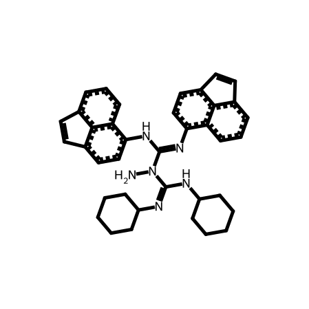 NN(C(=Nc1ccc2c3c(cccc13)C=C2)Nc1ccc2c3c(cccc13)C=C2)C(=NC1CCCCC1)NC1CCCCC1